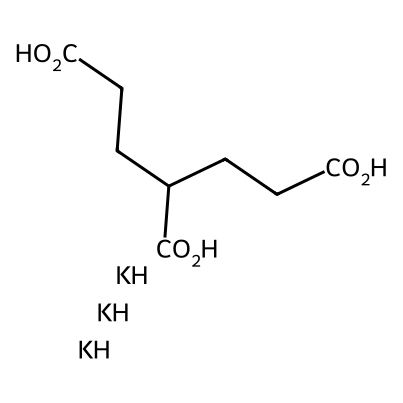 O=C(O)CCC(CCC(=O)O)C(=O)O.[KH].[KH].[KH]